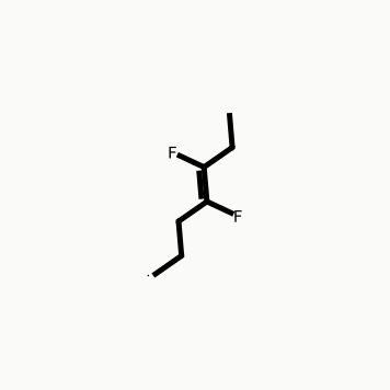 [CH2]CC/C(F)=C(\F)CC